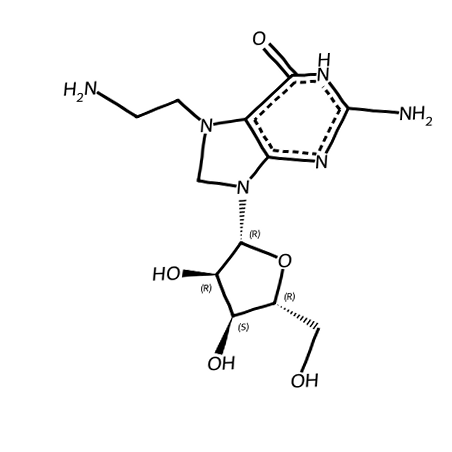 NCCN1CN([C@@H]2O[C@H](CO)[C@@H](O)[C@H]2O)c2nc(N)[nH]c(=O)c21